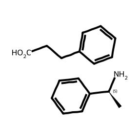 C[C@H](N)c1ccccc1.O=C(O)CCc1ccccc1